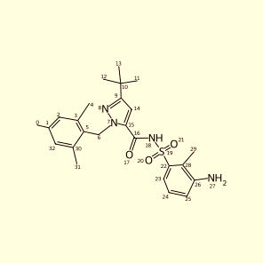 Cc1cc(C)c(Cn2nc(C(C)(C)C)cc2C(=O)NS(=O)(=O)c2cccc(N)c2C)c(C)c1